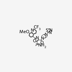 COc1ccc(-c2nc(C(=O)N3CC4CC3CN4c3nncs3)c([C@H](C)N)o2)c2ccc(C(F)(F)F)nc12